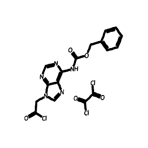 O=C(Cl)C(=O)Cl.O=C(Cl)Cn1cnc2c(NC(=O)OCc3ccccc3)ncnc21